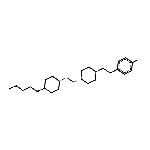 CCCCC[C@H]1CC[C@H](CC[C@H]2CC[C@H](CCc3ccc(F)cc3)CC2)CC1